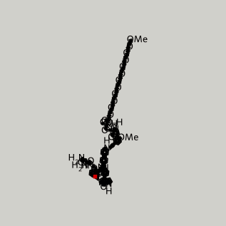 COCCOCCOCCOCCOCCOCCOCCOCCOCCOCCOCCOCCC(=O)N[C@@H](CC(=O)O)C(=O)NCN1C(=O)CCN(c2cc(C#CCNC3(C)CCN(C4CCN(c5nc([C@@](COCNC(=O)[C@@H](N)CC(N)=O)(OC6CC6)c6ccccc6)c6cc(-c7cn(C)c(=O)c8[nH]ccc78)ccc6n5)CC4)CC3)ccc2OC)C1=O